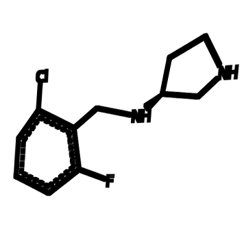 Fc1cccc(Cl)c1CN[C@H]1CCNC1